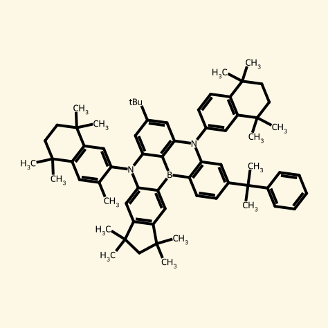 Cc1cc2c(cc1N1c3cc4c(cc3B3c5ccc(C(C)(C)c6ccccc6)cc5N(c5ccc6c(c5)C(C)(C)CCC6(C)C)c5cc(C(C)(C)C)cc1c53)C(C)(C)CC4(C)C)C(C)(C)CCC2(C)C